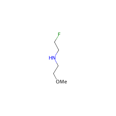 COCCNCCF